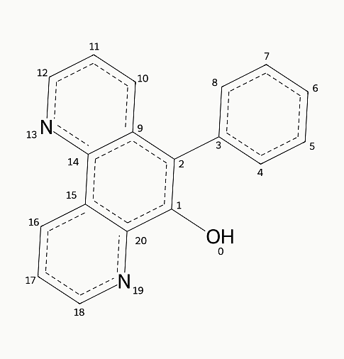 Oc1c(-c2ccccc2)c2cccnc2c2cccnc12